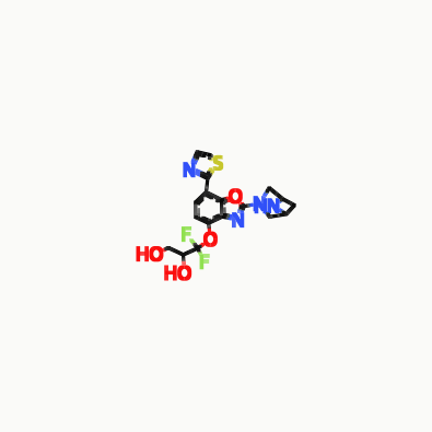 OCC(O)C(F)(F)Oc1ccc(-c2nccs2)c2oc(N3CC4CC(C3)N4)nc12